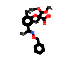 COC(OC)C(C)(Oc1cc(C(C)=NOCc2ccccc2)ccc1C)C(=O)O